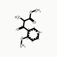 COC(=O)C(C)C(=O)c1cnccc1OC